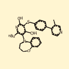 CCCCc1nc(O)c(Sc2ccc(-c3ccncc3C)cc2)c(O)c1N1CCCOc2ccccc21